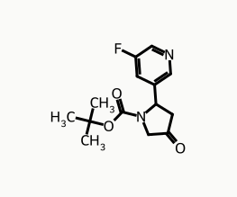 CC(C)(C)OC(=O)N1CC(=O)CC1c1cncc(F)c1